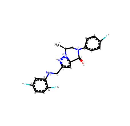 C[C@H]1CN(c2ccc(F)cc2)C(=O)c2cc(CNc3cc(F)ccc3F)nn21